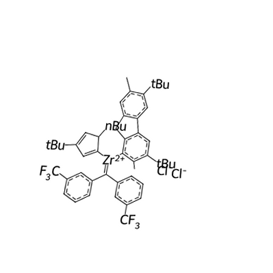 CCCCC1C=C(C(C)(C)C)C=[C]1[Zr+2](=[C](c1cccc(C(F)(F)F)c1)c1cccc(C(F)(F)F)c1)[c]1c(C)c(C(C)(C)C)cc2c1Cc1cc(C)c(C(C)(C)C)cc1-2.[Cl-].[Cl-]